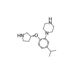 CC(C)c1ccc(O[C@H]2CCNC2)c(N2CCNCC2)c1